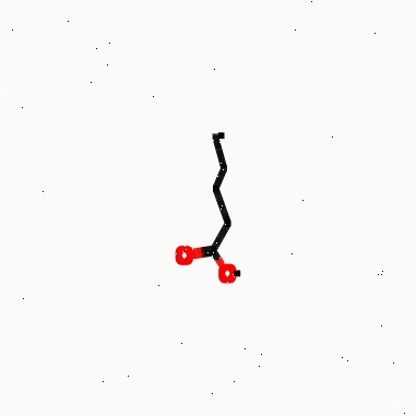 [CH2]CCCC([O])=O